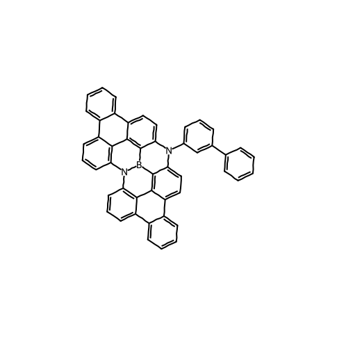 c1ccc(-c2cccc(N3c4ccc5c6ccccc6c6cccc7c6c5c4B4c5c3ccc3c6ccccc6c6cccc(c6c53)N47)c2)cc1